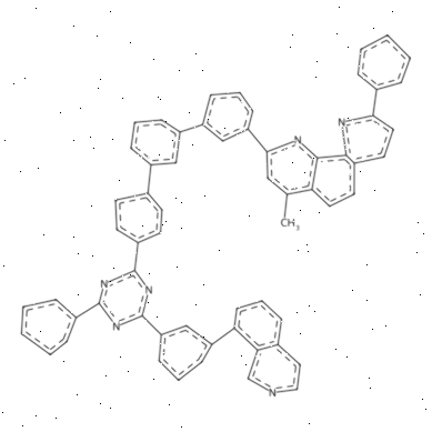 Cc1cc(-c2cccc(-c3cccc(-c4ccc(-c5nc(-c6ccccc6)nc(-c6cccc(-c7cccc8ccncc78)c6)n5)cc4)c3)c2)nc2c1ccc1ccc(-c3ccccc3)nc12